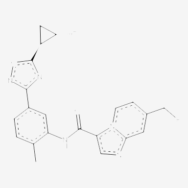 Cc1ccc(-c2noc([C@H]3C[C@@H]3F)n2)cc1NC(=O)c1cnc2cc(CF)ccn12